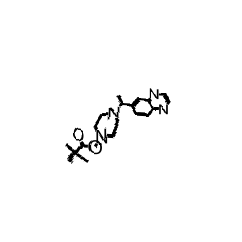 CC(c1ccc2nccnc2c1)N1CCN(OC(=O)C(C)(C)C)CC1